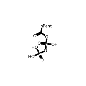 CCCCCC(=O)OP(=O)(O)OP(=O)(O)O